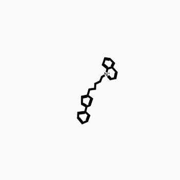 c1ccc(-c2ccc(CCCCC[n+]3cccc4ccccc43)cc2)cc1